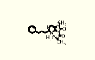 CN(C)C(=O)n1c(=O)n(C)c2cnc(CCCC3C=CC=CC3)nc21